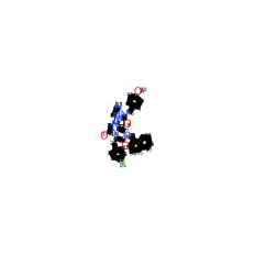 COc1ccc(CNC(=O)N(CC#N)N2CC(=O)N3[C@@H](Cc4ccc(F)cc4)C(=O)N(Cc4cccc5ccccc45)C[C@@H]32)cc1